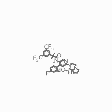 Cc1cc(F)ccc1-c1cc(N2CCN3CCC[C@H]3[C@@H]2CO)ncc1N(C)C(=O)C(C)(C)c1cc(C(F)(F)F)cc(C(F)(F)F)c1